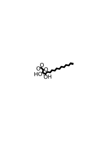 C=CCCCCCCCCCC1OC(C(OC)OC)C(O)[C@@H]1O